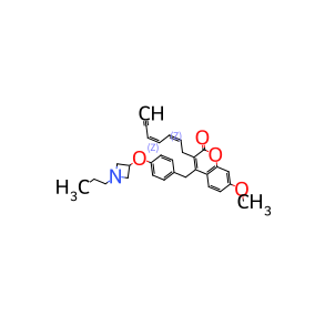 C#C/C=C\C=C/Cc1c(Cc2ccc(OC3CN(CCC)C3)cc2)c2ccc(OC)cc2oc1=O